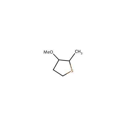 COC1CCSC1C